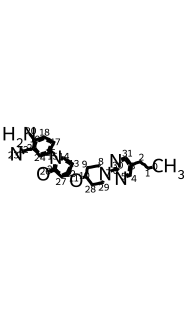 CCCc1cnc(N2CCC(Oc3ccn(-c4ccc(N)c(C#N)c4)c(=O)c3)CC2)nc1